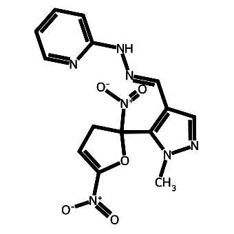 Cn1ncc(C=NNc2ccccn2)c1C1([N+](=O)[O-])CC=C([N+](=O)[O-])O1